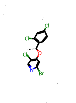 C[C@@H](Oc1cc(Br)ncc1Cl)c1ccc(Cl)cc1Cl